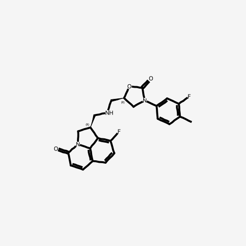 Cc1ccc(N2C[C@@H](CNC[C@@H]3Cn4c(=O)ccc5ccc(F)c3c54)OC2=O)cc1F